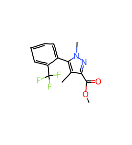 COC(=O)c1nn(C)c(-c2ccccc2C(F)(F)F)c1C